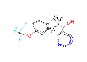 CC(C)(Cc1ccc(OC(F)(F)F)cc1)C(O)c1cncnc1